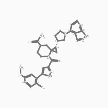 COc1cc(-c2cc(C(=O)N3CCC(C(N)=O)CC34CC4[C@@H]3CCN(c4ccnc5[nH]ncc45)C3)n[nH]2)c(F)cn1